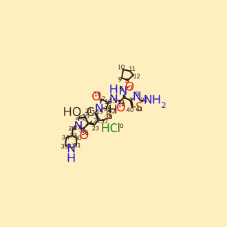 Cl.Nc1nc(C(=NOC2CCCC2)C(=O)N[C@@H]2C(=O)N3C(C(=O)O)=C(C=C4CCN(CC5CCNCC5)C4=O)CS[C@H]23)cs1